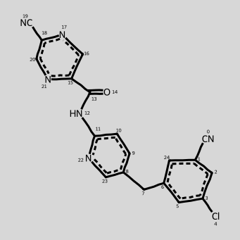 N#Cc1cc(Cl)cc(Cc2ccc(NC(=O)c3cnc(C#N)cn3)nc2)c1